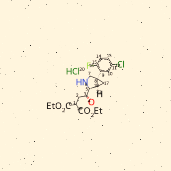 CCOC(=O)C(CC(=O)C1NC[C@@]2(c3cc(Cl)ccc3F)C[C@@H]12)C(=O)OCC.Cl